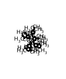 Cc1cc(C(C)(C)C)ccc1N1c2cc3c(cc2B2c4sc5cc6c(cc5c4N(c4cc5c(cc4C)C(C)(C)CCC5(C)C)c4cc(C(C)(C)C)cc1c42)C(C)(C)CCC6(C)C)C(C)(C)CCC3(C)C